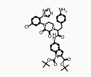 CC(C)(C)OC(=O)c1cc2cc(NC(=O)C(Cc3ccc(N)cc3)N3CCN(c4cc(Cl)ccc4-n4cnnn4)C(=O)C3=O)ccc2n1C(=O)OC(C)(C)C